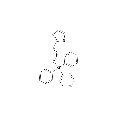 C(=N\O[Si](c1ccccc1)(c1ccccc1)c1ccccc1)/c1nccs1